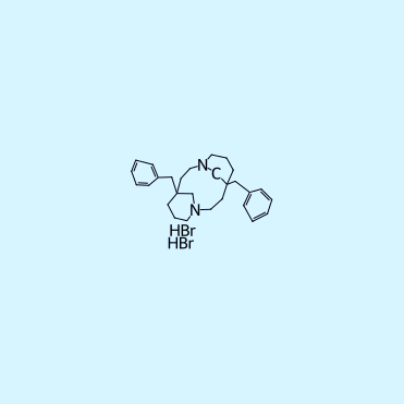 Br.Br.c1ccc(CC23CCCN(CCC4(Cc5ccccc5)CCCN(CC2)C4)C3)cc1